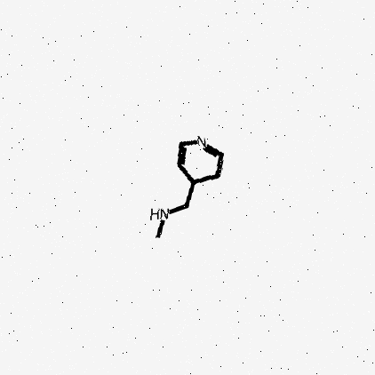 CNCC1C=CN=CC1